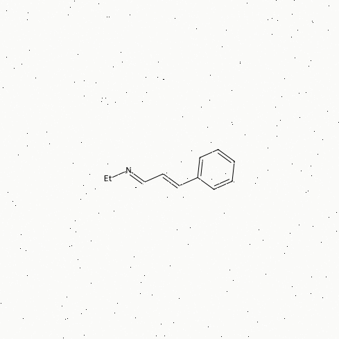 CCN=CC=Cc1ccccc1